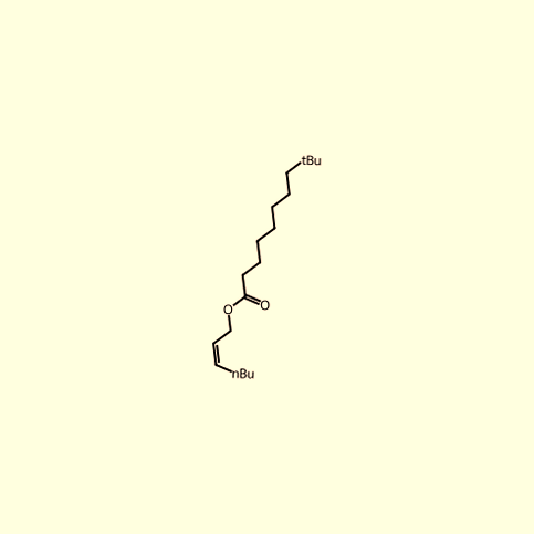 CCCC/C=C\COC(=O)CCCCCCCC(C)(C)C